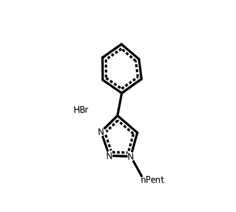 Br.CCCCCn1cc(-c2ccccc2)nn1